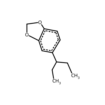 CCC(CC)c1ccc2c(c1)OCO2